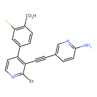 CCc1nccc(-c2ccc(C(=O)O)c(F)c2)c1C#Cc1ccc(N)nc1